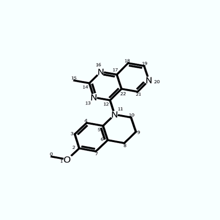 COc1ccc2c(c1)CCCN2c1nc(C)nc2ccncc12